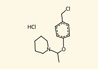 CC(Oc1ccc(CCl)cc1)N1CCCCC1.Cl